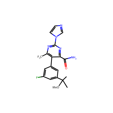 COC(C)(C)c1cc(F)cc(-c2c(C(N)=O)nc(-n3ccnc3)nc2C(F)(F)F)c1